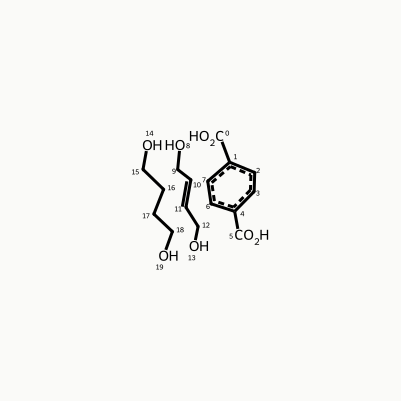 O=C(O)c1ccc(C(=O)O)cc1.OCC=CCO.OCCCCO